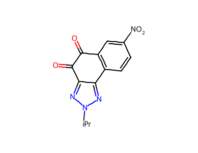 CC(C)n1nc2c(n1)-c1ccc([N+](=O)[O-])cc1C(=O)C2=O